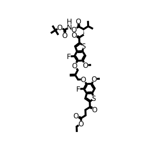 C=C(COc1c(OC)cc2sc(C(=O)CCC(=O)OCC)cc2c1F)COc1c(OC)cc2sc(C(=O)C[C@H](C(=O)ONC(=O)OC(C)(C)C)C(C)C)cc2c1F